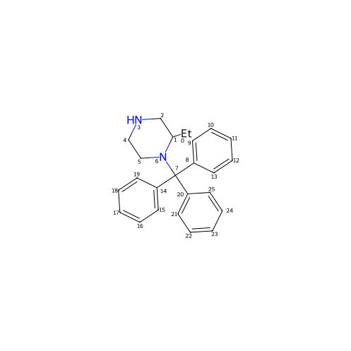 CCC1CNCCN1C(c1ccccc1)(c1ccccc1)c1ccccc1